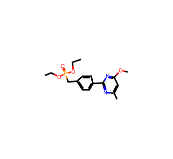 CCOP(=O)(Cc1ccc(-c2nc(C)cc(OC)n2)cc1)OCC